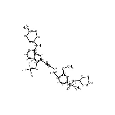 COc1cc([SH](C)(=O)NC2CCOCC2)ccc1NCC#Cc1cc2c(NC3CCN(C)CC3)cccc2n1CC(F)(F)F